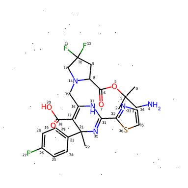 CC(C)(CN)OC(=O)C1CC(F)(F)CN1CC1=C(C(=O)O)C(C)(c2ccc(F)cc2)N=C(c2nccs2)N1